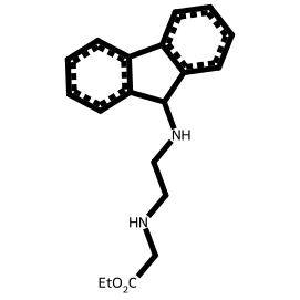 CCOC(=O)CNCCNC1c2ccccc2-c2ccccc21